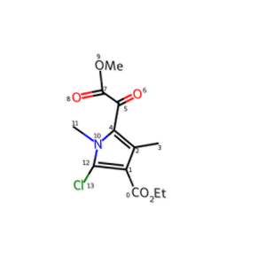 CCOC(=O)c1c(C)c(C(=O)C(=O)OC)n(C)c1Cl